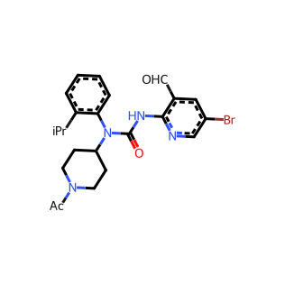 CC(=O)N1CCC(N(C(=O)Nc2ncc(Br)cc2C=O)c2ccccc2C(C)C)CC1